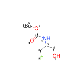 CC(C)(C)OC(=O)NC(CO)CF